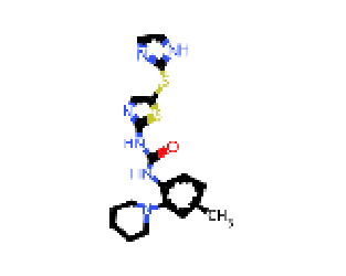 Cc1ccc(NC(=O)Nc2ncc(Sc3ncc[nH]3)s2)c(N2CCCCC2)c1